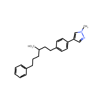 Cn1cc(-c2ccc(CCC(CCCc3ccccc3)C(=O)O)cc2)cn1